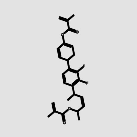 C=C(C)C(=O)OC1=CCC(c2ccc(C(C)/C=C\C(C)OC(=O)C(=C)C)c(F)c2F)C=C1